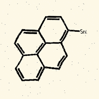 [Sn][c]1ccc2ccc3cccc4ccc1c2c34